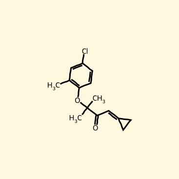 Cc1cc(Cl)ccc1OC(C)(C)C(=O)C=C1CC1